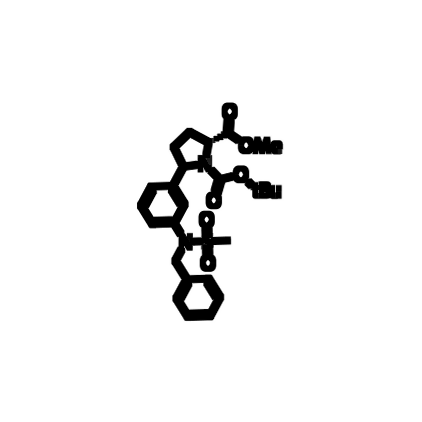 COC(=O)[C@H]1CCC(c2cccc(N(Cc3ccccc3)S(C)(=O)=O)c2)N1C(=O)OC(C)(C)C